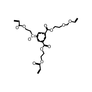 C=COCOCCOC(=O)c1cc(C(=O)OCCOC(=O)C=C)c[c]([Co](=[O])[CH2]COC(=O)C=C)c1